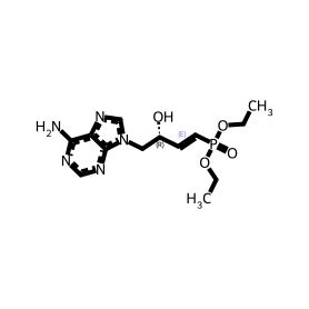 CCOP(=O)(/C=C/[C@@H](O)Cn1cnc2c(N)ncnc21)OCC